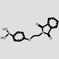 O=C1c2ccccc2C(=O)N1CCOc1ccc(B(O)O)cc1